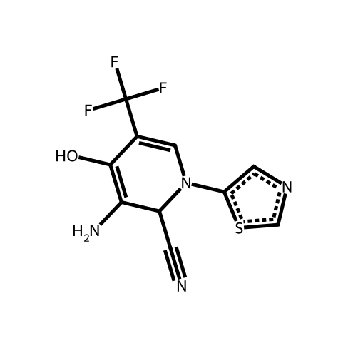 N#CC1C(N)=C(O)C(C(F)(F)F)=CN1c1cncs1